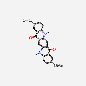 COc1ccc2c(c1)c(=O)c1cc3c(cc1n2C)c(=O)c1cc(C=O)ccc1n3C